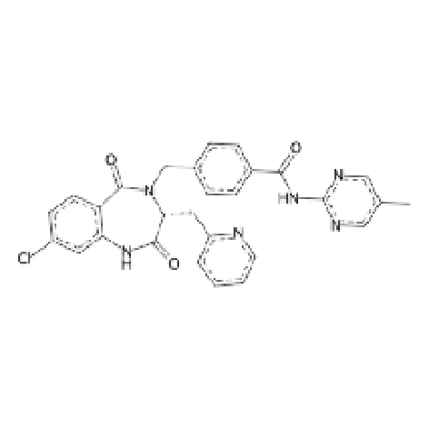 Cc1cnc(NC(=O)c2ccc(CN3C(=O)c4ccc(Cl)cc4NC(=O)[C@H]3Cc3ccccn3)cc2)nc1